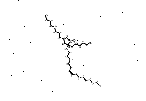 CCCCCCCC/C=C\CCCCCCC(CCCCCC)(CCCCCCCCCC)C(=O)O